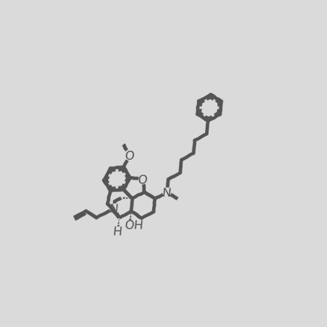 C=CCN1CC[C@]23c4c5ccc(OC)c4OC2C(N(C)CCCCCCc2ccccc2)CC[C@@]3(O)[C@H]1C5